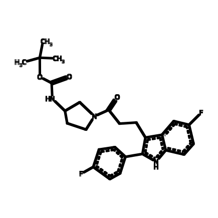 CC(C)(C)OC(=O)NC1CCN(C(=O)CCc2c(-c3ccc(F)cc3)[nH]c3ccc(F)cc23)C1